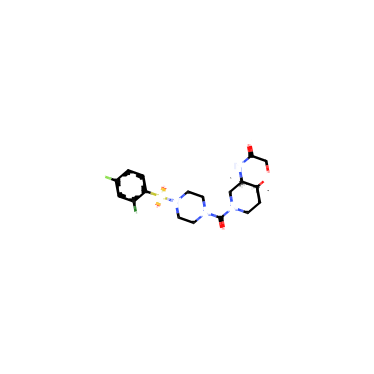 O=C1CO[C@H]2CCN(C(=O)N3CCN(S(=O)(=O)c4ccc(F)cc4Cl)CC3)C[C@H]2N1